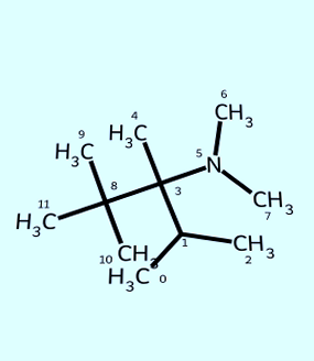 CC(C)C(C)(N(C)C)C(C)(C)C